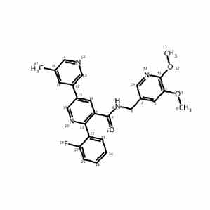 COc1cc(CNC(=O)c2cc(-c3cncc(C)c3)cnc2-c2ccccc2F)cnc1OC